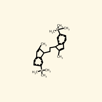 CC1=Cc2ccc([Si](C)(C)C)cc2C1CCC1C(C)=Cc2ccc([Si](C)(C)C)cc21